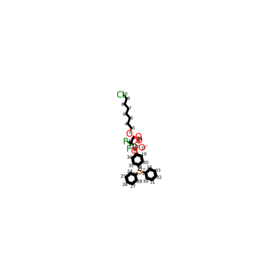 O=C(OCCCCCCCCl)C(F)(F)S(=O)(=O)[O-].c1ccc([S+](c2ccccc2)c2ccccc2)cc1